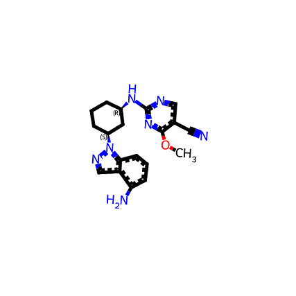 COc1nc(N[C@@H]2CCC[C@H](n3ncc4c(N)cccc43)C2)ncc1C#N